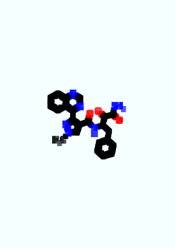 Cn1cc(C(=O)NC(Cc2ccccc2)C(=O)C(N)=O)c(-c2ncnc3ccccc23)n1